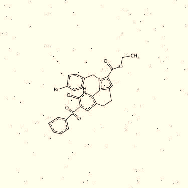 CCOC(=O)c1cc2c(n1Cc1ccc(Br)cc1)-c1[nH]c(=O)c(S(=O)(=O)c3ccccc3)cc1CC2